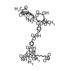 CC[C@H](O)[C@@H](C)[C@H]1O[C@@H]1C[C@@](C)(O)/C=C/C=C(\C)[C@H]1OC(=O)C[C@H](O)CC[C@@](C)(OC(C)=O)[C@@H](OC(=O)N2CCN(CCNC(=O)OCc3ccc(NC(=O)[C@H](CCCNC(N)=O)NC(=O)[C@@H](NC(=O)CCCCCN4C(=O)C=CC4=O)C(C)C)cc3)CC2)/C=C/[C@@H]1C